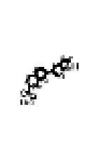 CC(C)(C)OC(=O)N1CCc2ccc(-c3cnc4[nH]ccc4c3)cc2C1